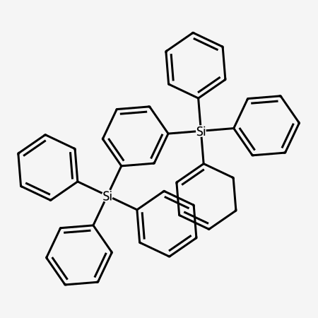 C1=CCCC([Si](c2ccccc2)(c2ccccc2)c2cccc([Si](c3ccccc3)(c3ccccc3)c3ccccc3)c2)=C1